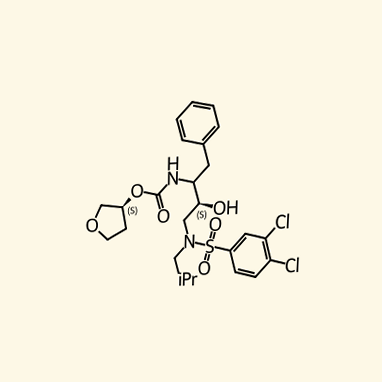 CC(C)CN(C[C@H](O)C(Cc1ccccc1)NC(=O)O[C@H]1CCOC1)S(=O)(=O)c1ccc(Cl)c(Cl)c1